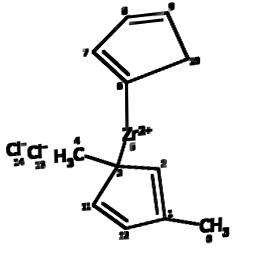 CC1=C[C](C)([Zr+2][C]2=CC=CC2)C=C1.[Cl-].[Cl-]